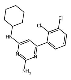 Nc1nc(NC2CCCCC2)cc(-c2cccc(Cl)c2Cl)n1